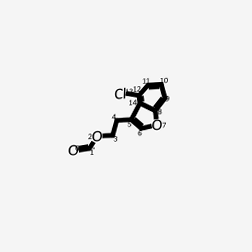 O=[C]OCCc1coc2cccc(Cl)c12